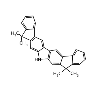 CC1(C)c2ccccc2-c2cc3c(cc21)[nH]c1cc2c(cc13)-c1ccccc1C2(C)C